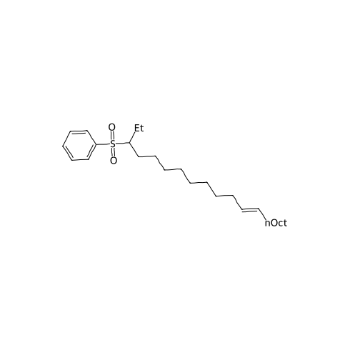 CCCCCCCCC=CCCCCCCCCC(CC)S(=O)(=O)c1ccccc1